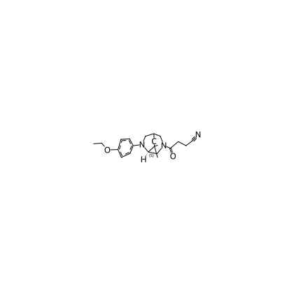 CCOc1ccc(N2CC3CN(C(=O)CCC#N)C[C@@H]2C(C)(C)C3)cc1